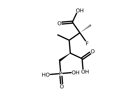 CC([C@H](CP(=O)(O)O)C(=O)O)[C@](C)(F)C(=O)O